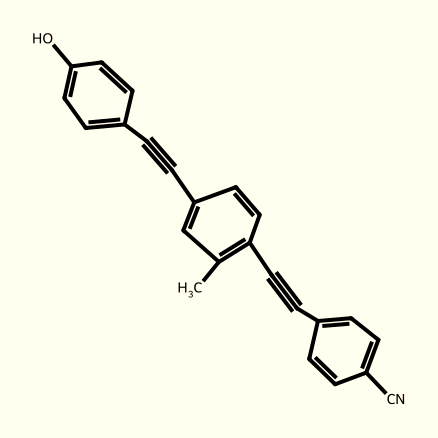 Cc1cc(C#Cc2ccc(O)cc2)ccc1C#Cc1ccc(C#N)cc1